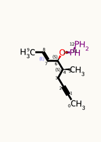 CC#CC[C@H](C)[C@@H](/C=C/C)OPP